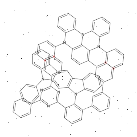 c1ccc(-c2nc(-c3ccccc3)nc(-c3cccc(-c4cccc(-c5cccc(-c6ccc7c8c6N(c6ccccc6)c6ccccc6B8c6ccccc6N7c6ccccc6)c5)c4)c3-n3c4ccccc4c4cc5c6ccccc6n(-c6ccccc6)c5cc43)n2)cc1